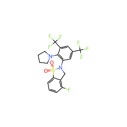 O=S1(=O)c2cccc(F)c2CN1c1cc(C(F)(F)F)cc(C(F)(F)F)c1N1CCCC1